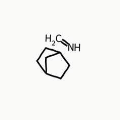 C1CC2CCC1C2.C=N